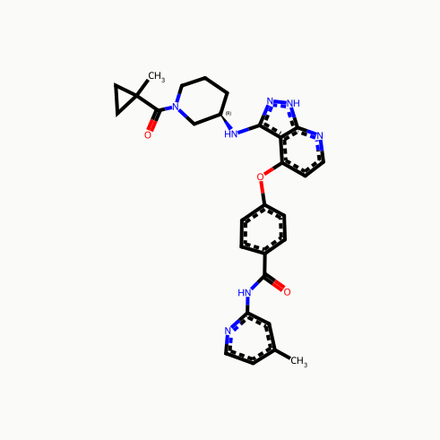 Cc1ccnc(NC(=O)c2ccc(Oc3ccnc4[nH]nc(N[C@@H]5CCCN(C(=O)C6(C)CC6)C5)c34)cc2)c1